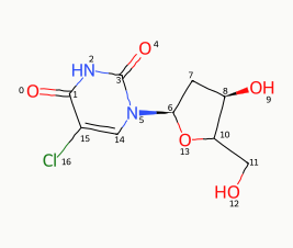 O=c1[nH]c(=O)n([C@H]2C[C@@H](O)C(CO)O2)cc1Cl